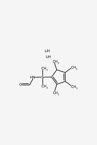 CC1=C(C)C(C)C([Si](C)(C)NC=O)=C1C.[LiH].[LiH]